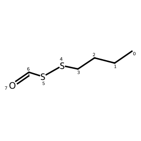 CCCCSS[C]=O